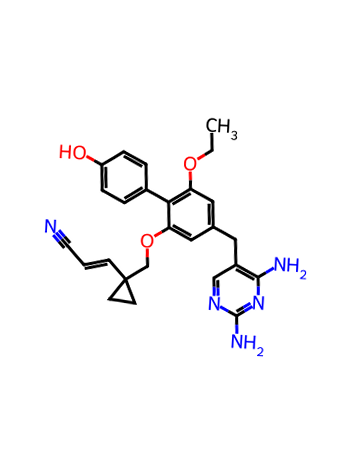 CCOc1cc(Cc2cnc(N)nc2N)cc(OCC2(/C=C/C#N)CC2)c1-c1ccc(O)cc1